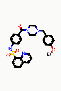 CCOc1ccc(CN2CCN(C(=O)c3ccc(NS(=O)(=O)c4cccc5cccnc45)cc3)CC2)cc1